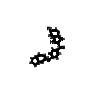 Fc1ccc2nc(Nc3ccc(Oc4ccc5c(c4)CCC5)cc3)[nH]c2c1